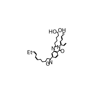 C=C/C(=C\C=C\F)n1c(CCCCC(O)O)nc2cc(C3=NOC(CC/C=C\C=C/CC)C3)ccc2c1=O